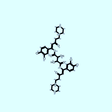 O=C(/C=C(\OC(=O)C(O)C(O)C(=O)O/C(=C\C(=O)CCN1CCOCC1)c1ccc(Cl)c(Cl)c1)c1ccc(Cl)c(Cl)c1)CCN1CCOCC1